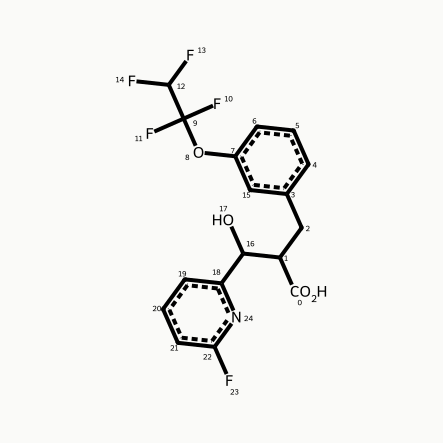 O=C(O)C(Cc1cccc(OC(F)(F)C(F)F)c1)C(O)c1cccc(F)n1